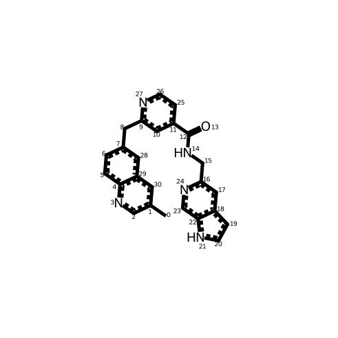 Cc1cnc2ccc(Cc3cc(C(=O)NCc4cc5cc[nH]c5cn4)ccn3)cc2c1